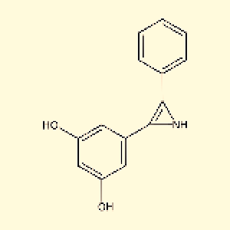 Oc1cc(O)cc(C2=C(c3ccccc3)N2)c1